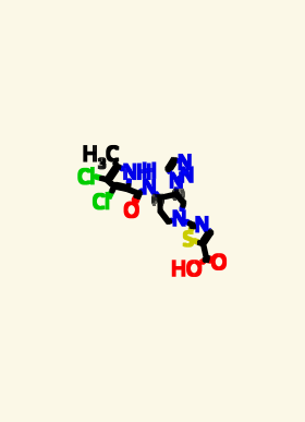 Cc1[nH]c(C(=O)N[C@@H]2CCN(c3ncc(C(=O)O)s3)C[C@@H]2n2ccnn2)c(Cl)c1Cl